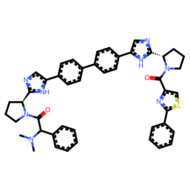 CN(C)C(C(=O)N1CCC[C@H]1c1ncc(-c2ccc(-c3ccc(-c4cnc([C@@H]5CCCN5C(=O)c5csc(-c6ccccc6)n5)[nH]4)cc3)cc2)[nH]1)c1ccccc1